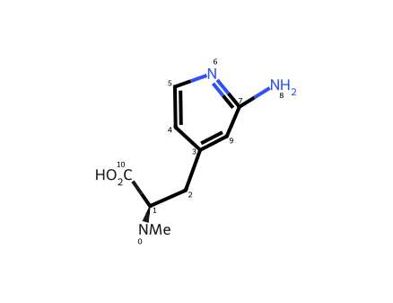 CN[C@H](Cc1ccnc(N)c1)C(=O)O